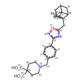 CC1(C)C2CC=C(Cc3nc(-c4ccc(CN5CCC(C(=O)O)(C(=O)O)CC5)cc4)no3)C1C2